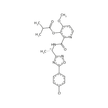 COc1ccnc(C(=O)N[C@@H](C)c2noc(-c3ccc(Cl)cc3)n2)c1OC(=O)C(C)C